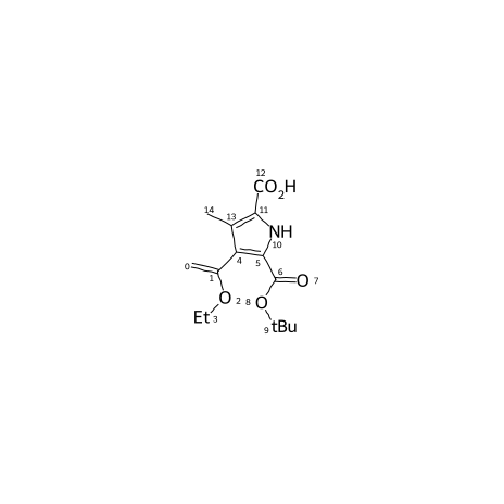 C=C(OCC)c1c(C(=O)OC(C)(C)C)[nH]c(C(=O)O)c1C